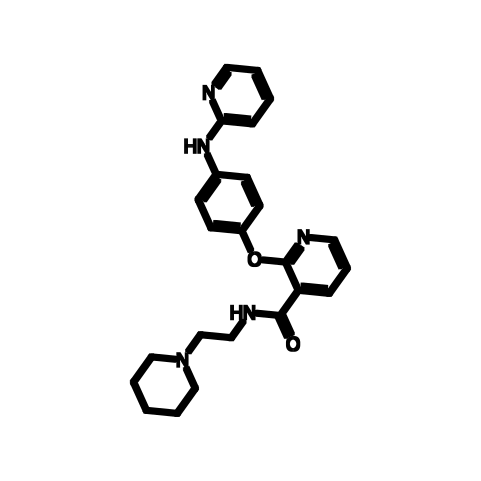 O=C(NCCN1CCCCC1)c1cccnc1Oc1ccc(Nc2ccccn2)cc1